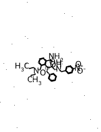 CCCN(CCC)C(=O)c1cccc(C(N)=O)c1[C@H](Cc1ccccc1)C(O)CNCc1ccc([N+](=O)[O-])cc1